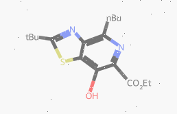 CCCCc1nc(C(=O)OCC)c(O)c2sc(C(C)(C)C)nc12